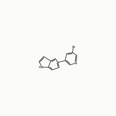 Brc1cncc(-c2ccc3[nH]ccc3c2)c1